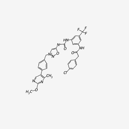 COc1ncc(-c2ccc(C[n+]3cc([N-]C(=O)Nc4cc(NC(=O)Cc5ccc(Cl)cc5)cc(C(F)(F)F)c4)on3)cc2)c(C)n1